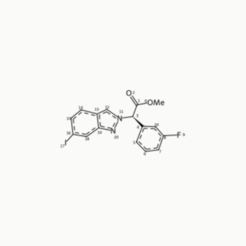 COC(=O)[C@@H](c1cccc(F)c1)n1cc2ccc(I)cc2n1